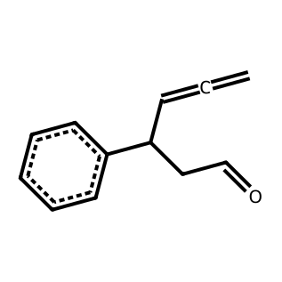 C=C=CC(CC=O)c1ccccc1